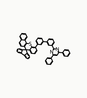 c1ccc(-c2cc(-c3ccccc3)nc(-c3cccc(-c4cccc(-c5cccc6c5Sc5c(ccc7ccccc57)C65c6ccccc6-c6ccccc65)c4)c3)n2)cc1